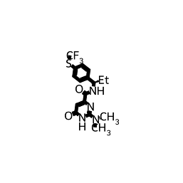 CC[C@@H](NC(=O)c1cc(=O)[nH]c(N(C)C)n1)c1ccc(SC(F)(F)F)cc1